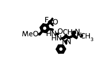 COCc1ccc(C2(F)COC2)c(CNC(=O)Nc2c(C)c(-c3cnn(C)c3)nn2-c2ccccc2)c1